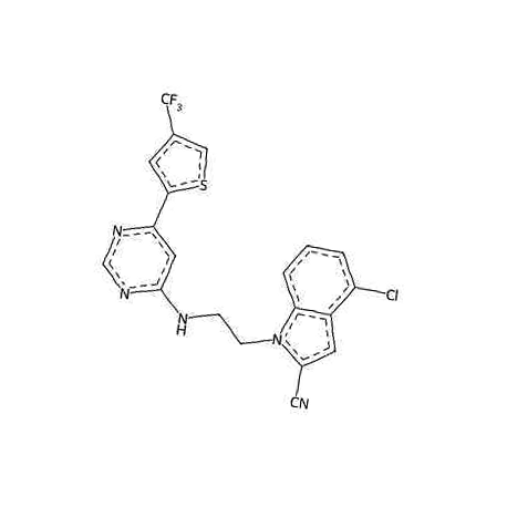 N#Cc1cc2c(Cl)cccc2n1CCNc1cc(-c2cc(C(F)(F)F)cs2)ncn1